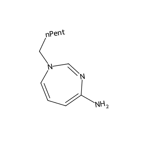 CCCCCCN1C=CC=C(N)N=C1